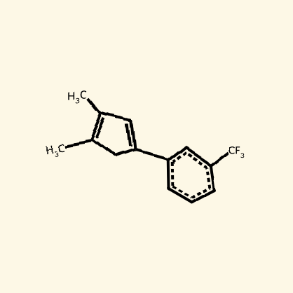 CC1=C(C)CC(c2cccc(C(F)(F)F)c2)=C1